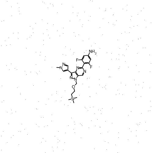 Cn1cc(-c2nn(COCC[Si](C)(C)C)c3cnc(-c4c(F)cc(N)cc4F)nc23)cn1